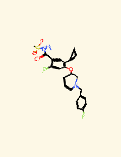 CS(=O)(=O)NC(=O)c1cc(C2CC2)c(OC2CCCN(Cc3ccc(F)cc3)C2)cc1F